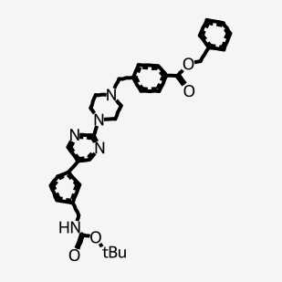 CC(C)(C)OC(=O)NCc1cccc(-c2cnc(N3CCN(Cc4ccc(C(=O)OCc5ccccc5)cc4)CC3)nc2)c1